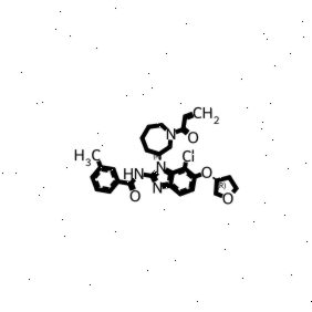 C=CC(=O)N1CCCC[C@@H](n2c(NC(=O)c3cccc(C)c3)nc3ccc(O[C@@H]4CCOC4)c(Cl)c32)C1